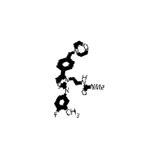 CNC(=O)NCCn1c(-c2ccc(CN3CCOCC3)cc2)csc1=Nc1ccc(F)c(C)c1